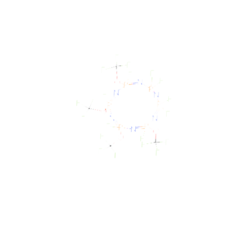 FC(F)(F)OP1(F)=NP(F)(F)=NP(F)(F)=NP(F)(OC(F)(F)F)=NP(F)(OC(F)(F)F)=NP(F)(OC(F)(F)F)=N1